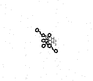 Cc1c(C)c(N(c2ccccc2)c2ccc(/C=C/c3ccccc3)cc2)c2ccccc2c1N(c1ccccc1)c1ccc(/C=C/c2ccccc2)cc1